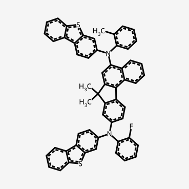 Cc1ccccc1N(c1ccc2c(c1)sc1ccccc12)c1cc2c(c3ccccc13)-c1ccc(N(c3ccc4c(c3)sc3ccccc34)c3ccccc3F)cc1C2(C)C